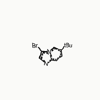 CC(C)(C)c1ccc2ncc(Br)n2c1